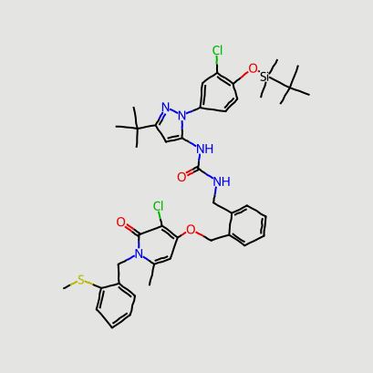 CSc1ccccc1Cn1c(C)cc(OCc2ccccc2CNC(=O)Nc2cc(C(C)(C)C)nn2-c2ccc(O[Si](C)(C)C(C)(C)C)c(Cl)c2)c(Cl)c1=O